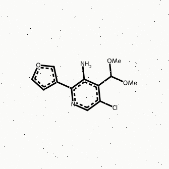 COC(OC)c1c(Cl)cnc(-c2ccoc2)c1N